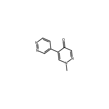 Cn1cc(-c2ccnnc2)c(=O)cn1